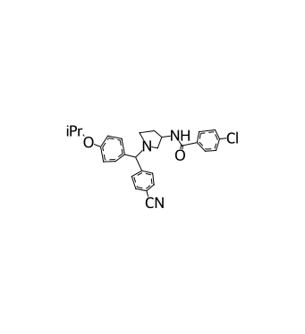 CC(C)Oc1ccc(C(c2ccc(C#N)cc2)N2CCC(NC(=O)c3ccc(Cl)cc3)C2)cc1